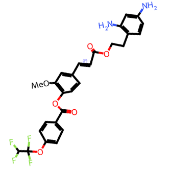 COc1cc(/C=C/C(=O)OCCc2ccc(N)cc2N)ccc1OC(=O)c1ccc(OC(F)(F)C(F)F)cc1